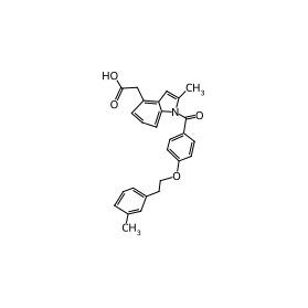 Cc1cccc(CCOc2ccc(C(=O)n3c(C)cc4c(CC(=O)O)cccc43)cc2)c1